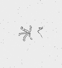 CCO.[O]=[Nb](=[O])(=[O])(=[O])=[O]